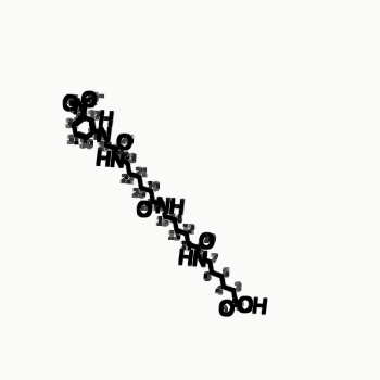 O=C(O)CCCCCNC(=O)CCCCCNC(=O)CCCCCNC(=O)CNc1cccc([N+](=O)[O-])c1